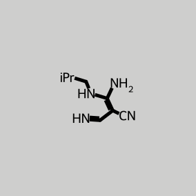 CC(C)CN/C(N)=C(/C#N)C=N